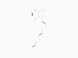 CC(C)=CCC/C(C)=C/CC/C(C)=C/CC1C(O)C=CC(O)C1N